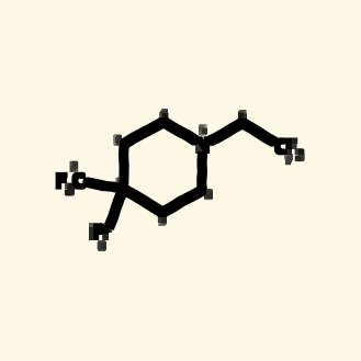 CC(C)C1(C(F)(F)F)CCN(CC(F)(F)F)CC1